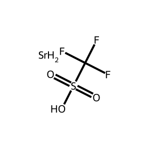 O=S(=O)(O)C(F)(F)F.[SrH2]